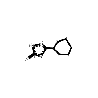 O=c1nc(C2CCCCC2)o[nH]1